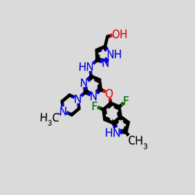 Cc1cc2c(F)c(Oc3cc(Nc4cc(CO)[nH]n4)nc(N4CCN(C)CC4)n3)c(F)cc2[nH]1